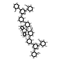 Cc1ccccc1-c1nc(-c2cccc(-c3ccc4c(c3)C3(c5cc(-c6cccc(-c7nc(-c8ccccc8C)nc(-c8ccccc8C)n7)c6)ccc5O4)c4ccccc4-c4ccccc43)c2)nc(-c2ccccc2C)n1